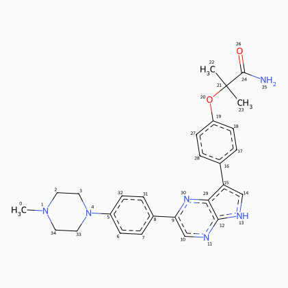 CN1CCN(c2ccc(-c3cnc4[nH]cc(-c5ccc(OC(C)(C)C(N)=O)cc5)c4n3)cc2)CC1